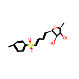 Cc1ccc(S(=O)(=O)/C=C/C=C/[C@H]2O[C@@H](C)C(O)[C@H]2O)cc1